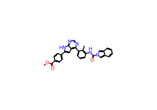 COC(=O)c1ccc(-c2cc3c(-c4cccc(NC(=O)n5cc6ccccc6c5)c4C)ncnc3[nH]2)cc1